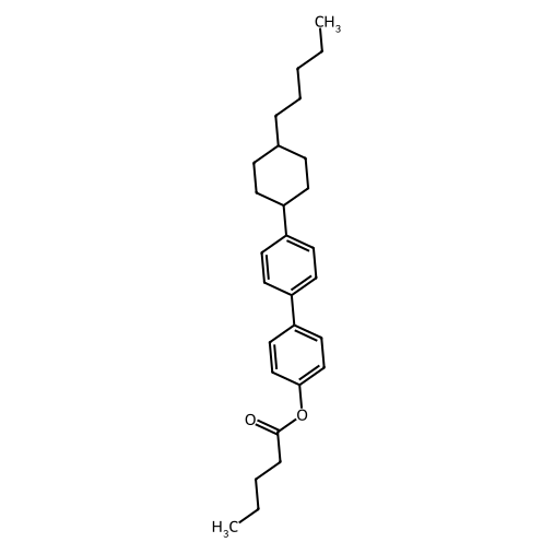 CCCCCC1CCC(c2ccc(-c3ccc(OC(=O)CCCC)cc3)cc2)CC1